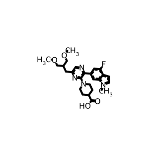 COCC(COC)Cc1cnc(-c2cc(F)c3ccn(C)c3c2)c(N2CCC(C(=O)O)CC2)n1